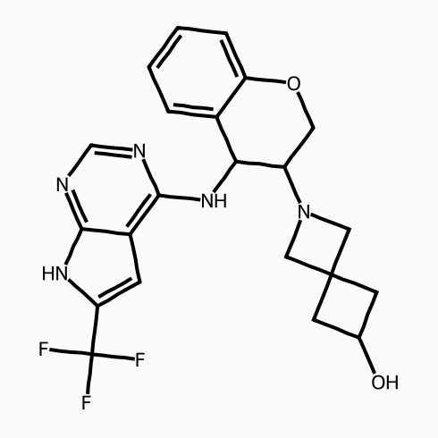 OC1CC2(C1)CN(C1COc3ccccc3C1Nc1ncnc3[nH]c(C(F)(F)F)cc13)C2